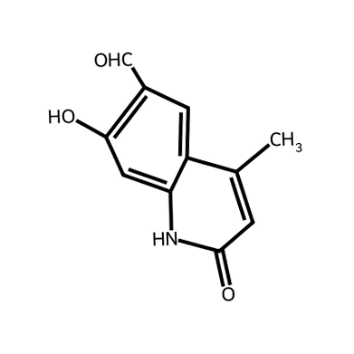 Cc1cc(=O)[nH]c2cc(O)c(C=O)cc12